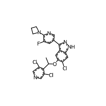 CC(Oc1cc2c(-c3cnc(N4CCC4)c(F)c3)n[nH]c2cc1Cl)c1c(Cl)cncc1Cl